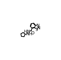 O=C(NNC1CCCC1)c1cccc2nnsc12